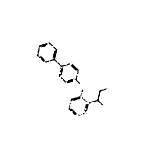 O=C(O)CC(C(=O)O)c1ccccc1Sc1ccc(-c2ccccc2)cc1